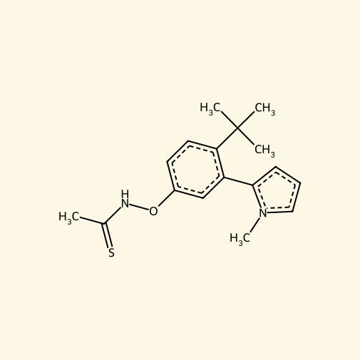 CC(=S)NOc1ccc(C(C)(C)C)c(-c2cccn2C)c1